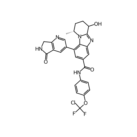 C[C@@H]1CCC(O)c2nc3cc(C(=O)Nc4ccc(OC(F)(F)Cl)cc4)cc(-c4cnc5c(c4)C(=O)NC5)c3n21